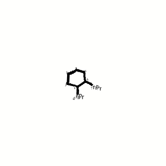 CCCC1CCCCC1CCC